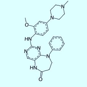 COc1cc(N2CCN(C)CC2)ccc1Nc1ncc2c(n1)N(c1ccccc1)CCC(=O)N2